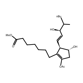 CCCCC(C)[C@H](O)/C=C/[C@@H]1C(CCCCCCC(=O)OC)=C(OC(C)=O)C[C@H]1O